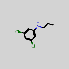 CCCNc1cc(Cl)cc(Cl)c1